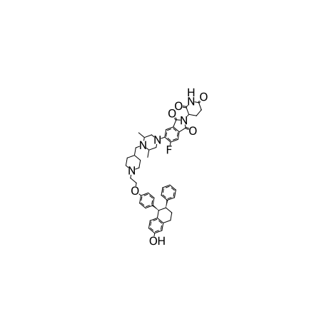 CC1CN(c2cc3c(cc2F)C(=O)N(C2CCC(=O)NC2=O)C3=O)CC(C)N1CC1CCN(CCOc2ccc([C@@H]3c4ccc(O)cc4CC[C@@H]3c3ccccc3)cc2)CC1